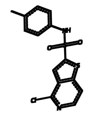 Cc1ccc(NS(=O)(=O)c2cc3c(Cl)nccc3s2)cc1